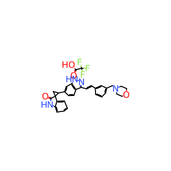 O=C(O)C(F)(F)F.O=C1Nc2ccccc2C12CC2c1ccc2c(/C=C/c3cccc(CN4CCOCC4)c3)n[nH]c2c1